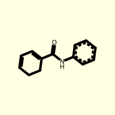 O=C(Nc1ccccc1)C1=CC=CCC1